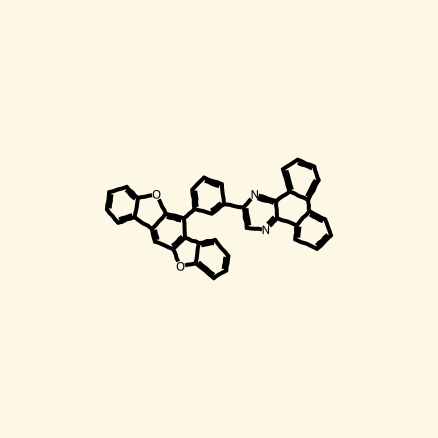 c1cc(-c2cnc3c4ccccc4c4ccccc4c3n2)cc(-c2c3oc4ccccc4c3cc3oc4ccccc4c23)c1